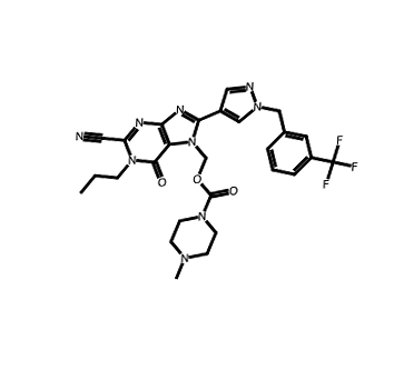 CCCn1c(C#N)nc2nc(-c3cnn(Cc4cccc(C(F)(F)F)c4)c3)n(COC(=O)N3CCN(C)CC3)c2c1=O